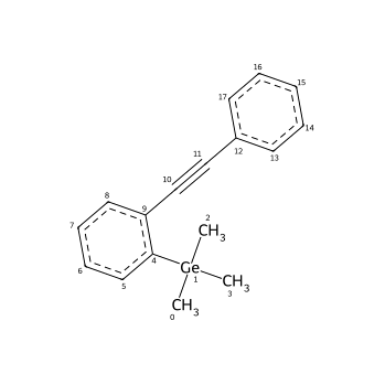 [CH3][Ge]([CH3])([CH3])[c]1ccccc1C#Cc1ccccc1